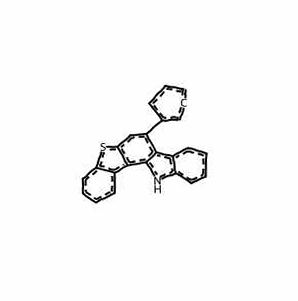 c1ccc(-c2cc3sc4ccccc4c3c3[nH]c4ccccc4c23)cc1